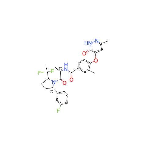 Cc1cc(Oc2ccc(C(=O)N[C@H](C)C(=O)N3C(C(C)(F)F)CC[C@H]3c3cccc(F)c3)cc2C)c(=O)[nH]n1